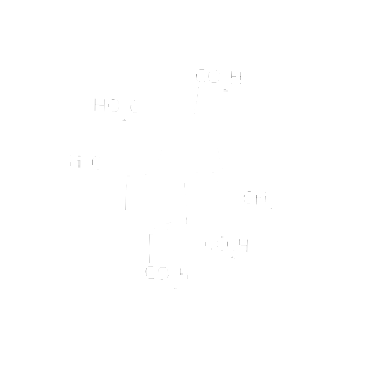 CC1=C2C(=C(C)CC(C(=O)O)=C2C(=O)O)C(C(=O)O)=C(C(=O)O)C1